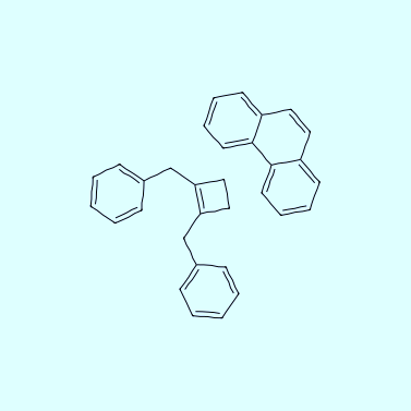 c1ccc(CC2=C(Cc3ccccc3)CC2)cc1.c1ccc2c(c1)ccc1ccccc12